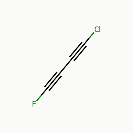 FC#CC#CCl